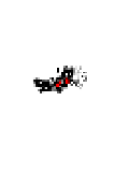 CC(C)(C)c1cc2c3c(c1)C(C)(C)c1cccc(N(c4ccc(-c5cccc6c5oc5ccccc56)cc4)c4ccccc4-c4ccccc4)c1-c1cccc(c1-3)C2(C)C